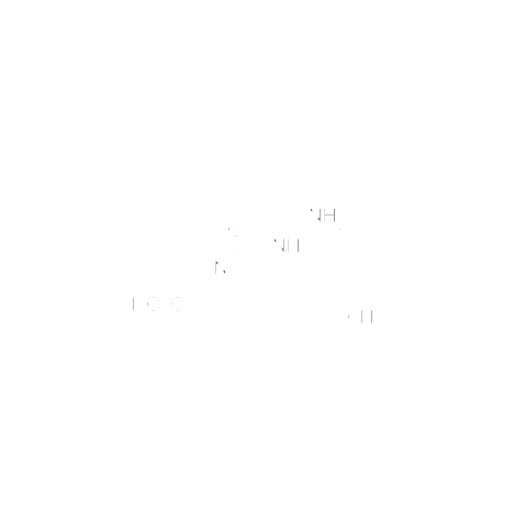 Cc1ccc(CC(Nc2ccccc2N)C(=O)N2CC(C(=O)O)C2)cc1